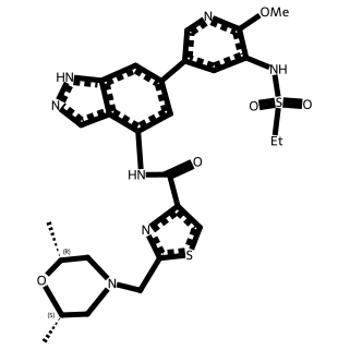 CCS(=O)(=O)Nc1cc(-c2cc(NC(=O)c3csc(CN4C[C@@H](C)O[C@@H](C)C4)n3)c3cn[nH]c3c2)cnc1OC